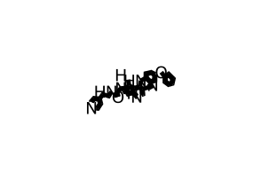 Cc1c(NC(=O)NCCc2ccncc2)cn2ncc(C#N)c(Nc3ccc(Oc4ccccc4)cc3)c12